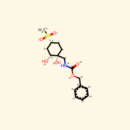 CS(=O)(=O)[C@@H]1CC[C@@](O)(CNC(=O)OCc2ccccc2)[C@H](O)C1